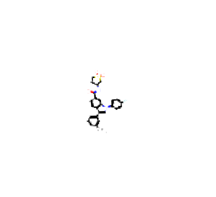 O=C(NC1CCS(=O)(=O)C1)c1ccc2c(-c3cccc(C(F)(F)F)c3)cn(-c3ccc(F)cc3)c2c1